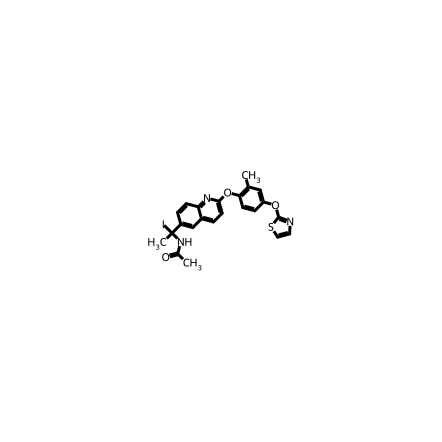 CC(=O)NC(C)(I)c1ccc2nc(Oc3ccc(Oc4nccs4)cc3C)ccc2c1